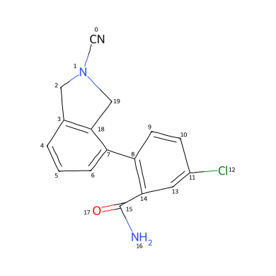 N#CN1Cc2cccc(-c3ccc(Cl)cc3C(N)=O)c2C1